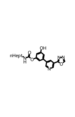 CCCCCCCNC(=O)Oc1cc(O)cc(-c2cncc(-c3nnco3)c2)c1